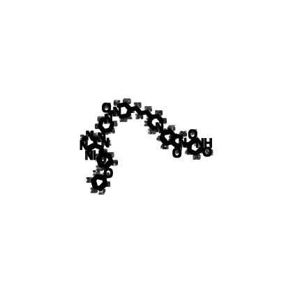 Nc1ncnc2c1c(-c1ccc(Oc3ccccc3)cc1)nn2C1CCN(C(=O)N2CCC(CCCC3CCN(c4ccc5c(c4)CN(C4CCC(=O)NC4=O)C5=O)CC3)CC2)CC1